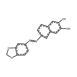 Oc1cc2ccc(/N=N/c3ccc4c(c3)OCO4)cc2cc1O